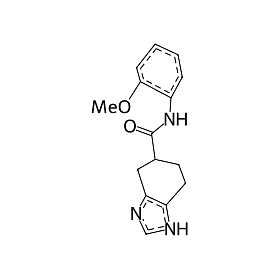 COc1ccccc1NC(=O)C1CCc2[nH]cnc2C1